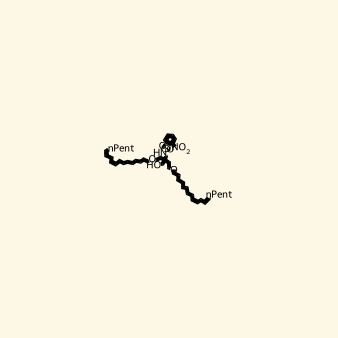 CCCCC/C=C\C/C=C\CCCCCCCCOCCC(CO)(CCOCCCCCCCC/C=C\C/C=C\CCCCC)CNS(=O)(=O)c1ccccc1[N+](=O)[O-]